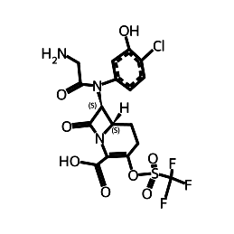 NCC(=O)N(c1ccc(Cl)c(O)c1)[C@@H]1C(=O)N2C(C(=O)O)=C(OS(=O)(=O)C(F)(F)F)CC[C@@H]12